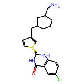 NCC1CCCC(CC2=CS(=c3[nH]c(=O)c4cc(Cl)ccc4[nH]3)C=C2)C1